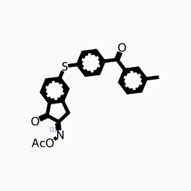 CC(=O)O/N=C1/Cc2cc(Sc3ccc(C(=O)c4cccc(C)c4)cc3)ccc2C1=O